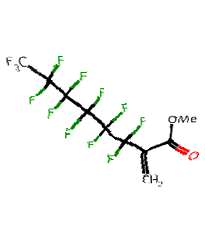 C=C(C(=O)OC)C(F)(F)C(F)(F)C(F)(F)C(F)(F)C(F)(F)C(F)(F)F